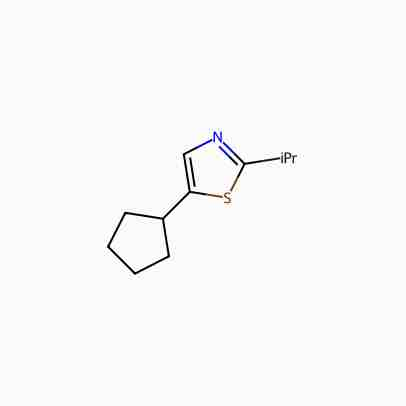 CC(C)c1ncc(C2CCCC2)s1